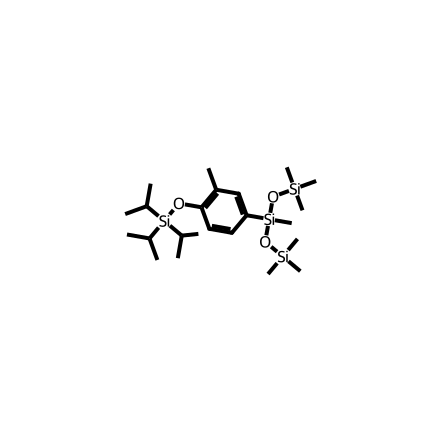 Cc1cc([Si](C)(O[Si](C)(C)C)O[Si](C)(C)C)ccc1O[Si](C(C)C)(C(C)C)C(C)C